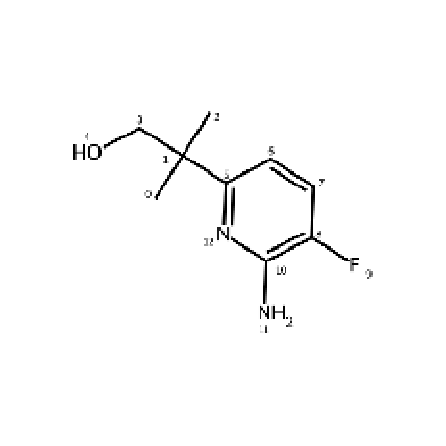 CC(C)(CO)c1ccc(F)c(N)n1